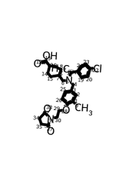 Cc1cc(CN(CC2CCC(C(=O)O)CC2)[C@@H](C)c2ccc(Cl)cc2)ccc1OCCN1C(=O)CCC1=O